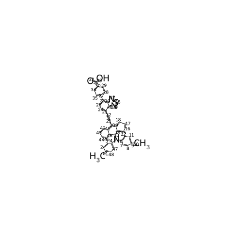 Cc1ccc(N(c2ccc(C)cc2)c2c3ccccc3c(C#Cc3ccc(-c4ccc(C(=O)O)cc4)c4nsnc34)c3ccccc23)cc1